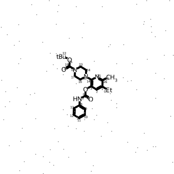 CCc1cc(OC(=O)Nc2ccccc2)c(N2CCN(C(=O)OC(C)(C)C)CC2)nc1C